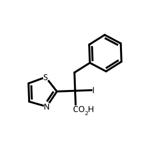 O=C(O)C(I)(Cc1ccccc1)c1nccs1